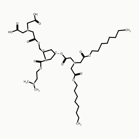 CCCCCCCCOC(=O)CN(CC(=O)OCCCCCCCC)CC(=O)O[C@H]1C[C@H](COC(=O)CN(CC(=O)O)CC(=O)O)N(C(=O)OCCN(C)C)C1